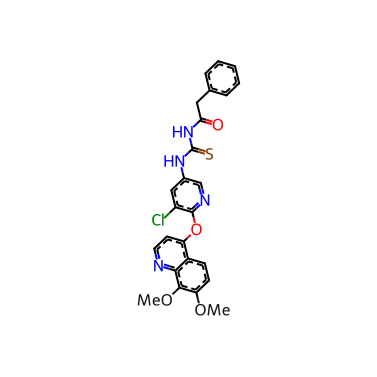 COc1ccc2c(Oc3ncc(NC(=S)NC(=O)Cc4ccccc4)cc3Cl)ccnc2c1OC